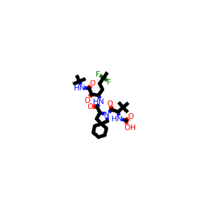 CC(F)(F)CCC(NC(=O)C1CC2(CCCCC2)CN1C(=O)C(NC(=O)O)C(C)(C)C)C(=O)C(=O)NC(C)(C)C